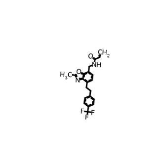 C=CC(=O)NCc1ccc(CCc2ccc(C(F)(F)F)cc2)c2nc(C)oc12